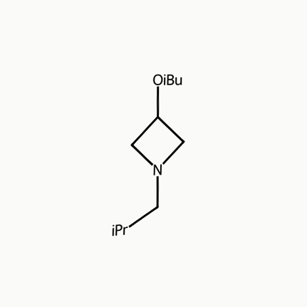 CC(C)COC1CN(CC(C)C)C1